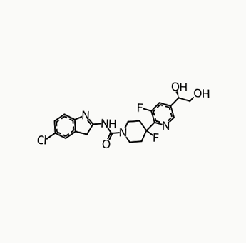 O=C(NC1=Nc2ccc(Cl)cc2C1)N1CCC(F)(c2ncc([C@@H](O)CO)cc2F)CC1